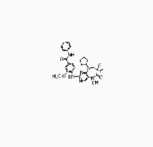 COc1cc(C(=O)Nc2ccccc2)ccc1Nc1ncc2c(n1)N(C1CCCC1)CC(F)(F)C(=O)N2C